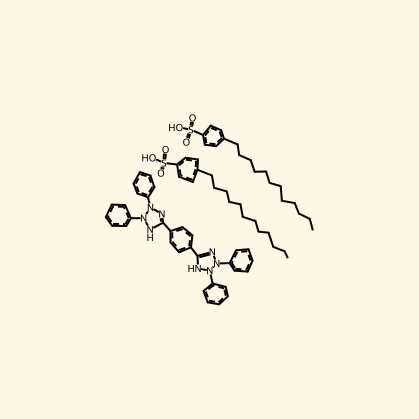 CCCCCCCCCCCCc1ccc(S(=O)(=O)O)cc1.CCCCCCCCCCCCc1ccc(S(=O)(=O)O)cc1.c1ccc(N2N=C(c3ccc(C4=NN(c5ccccc5)N(c5ccccc5)N4)cc3)NN2c2ccccc2)cc1